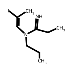 CCCN(/C=C(\C)I)C(=N)CC